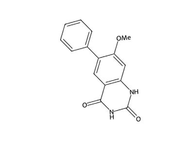 COc1cc2[nH]c(=O)[nH]c(=O)c2cc1-c1ccccc1